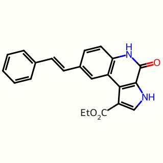 CCOC(=O)c1c[nH]c2c(=O)[nH]c3ccc(C=Cc4ccccc4)cc3c12